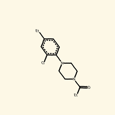 CCC(=O)N1CCN(c2ccc(CC)cc2Cl)CC1